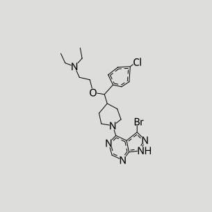 CCN(CC)CCOC(c1ccc(Cl)cc1)C1CCN(c2ncnc3[nH]nc(Br)c23)CC1